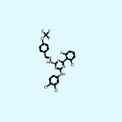 Fc1cccc(Cl)c1-c1nc(N/N=C/c2ccc(OC(F)(F)F)cc2)nc(Nc2ccc(Cl)c(Cl)c2)n1